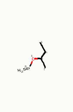 CCC(C)[O][SbH2]